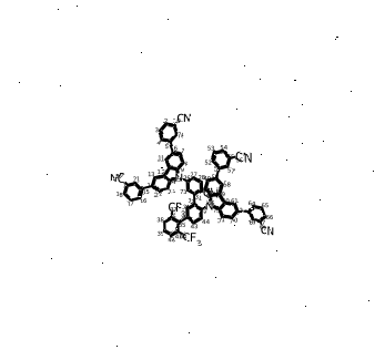 N#Cc1cccc(-c2ccc3c(c2)c2cc(-c4cccc(C#N)c4)ccc2n3-c2ccc(C#N)c(-c3cc(-c4c(C(F)(F)F)cccc4C(F)(F)F)ccc3-n3c4ccc(-c5cccc(C#N)c5)cc4c4cc(-c5cccc(C#N)c5)ccc43)c2)c1